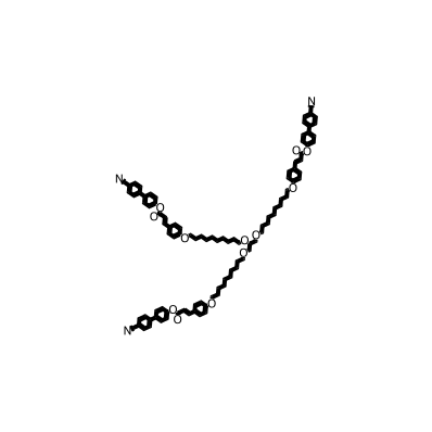 N#Cc1ccc(-c2ccc(OC(=O)C=Cc3ccc(OCCCCCCCCCCOCC(COCCCCCCCCCCOc4ccc(C=CC(=O)Oc5ccc(-c6ccc(C#N)cc6)cc5)cc4)OCCCCCCCCCCOc4ccc(C=CC(=O)Oc5ccc(-c6ccc(C#N)cc6)cc5)cc4)cc3)cc2)cc1